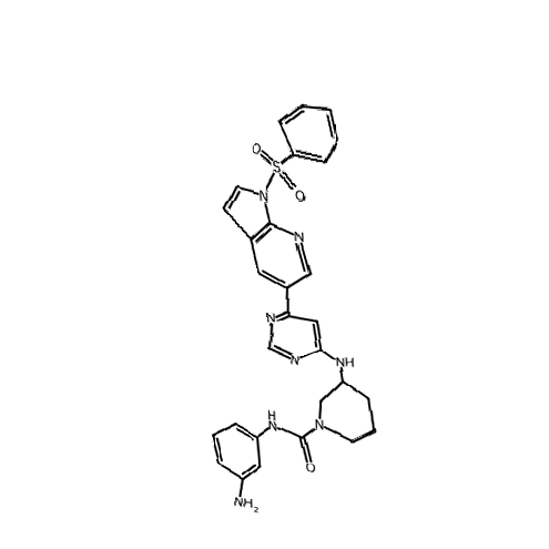 Nc1cccc(NC(=O)N2CCCC(Nc3cc(-c4cnc5c(ccn5S(=O)(=O)c5ccccc5)c4)ncn3)C2)c1